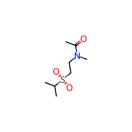 CC(=O)N(C)CCS(=O)(=O)C(C)C